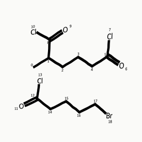 CC(CCCC(=O)Cl)C(=O)Cl.O=C(Cl)CCCCBr